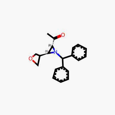 CC(=O)[C@H]1[C@H](C2COC2)N1C(c1ccccc1)c1ccccc1